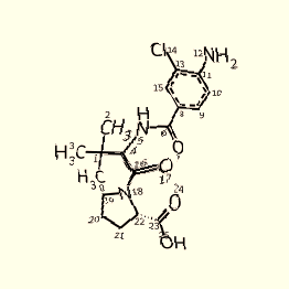 CC(C)(C)C(NC(=O)c1ccc(N)c(Cl)c1)C(=O)N1CCC[C@H]1C(=O)O